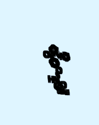 CC(C)(C)OC(=O)NCCOc1ccc(C(=O)N2CCC[C@H]2CN2CCCC2)cc1